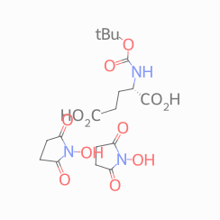 CC(C)(C)OC(=O)N[C@@H](CCC(=O)O)C(=O)O.O=C1CCC(=O)N1O.O=C1CCC(=O)N1O